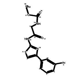 CC(=O)c1cccc(-c2csc(NC(=O)CNC(=O)OC(C)(C)C)n2)c1